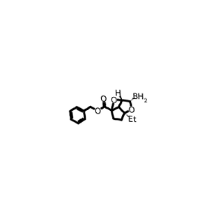 B[C@@H]1O[C@@]2(CC)CCC3(C(=O)OCc4ccccc4)O[C@H]1C32